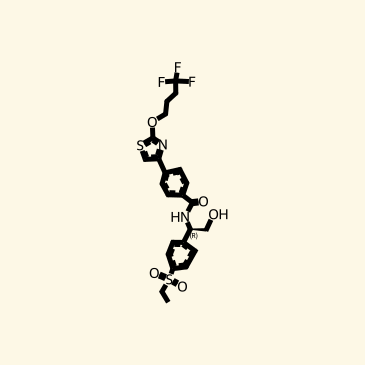 CCS(=O)(=O)c1ccc([C@H](CO)NC(=O)c2ccc(-c3csc(OCCCC(F)(F)F)n3)cc2)cc1